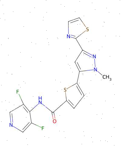 Cn1nc(-c2nccs2)cc1-c1ccc(C(=O)Nc2c(F)cncc2F)s1